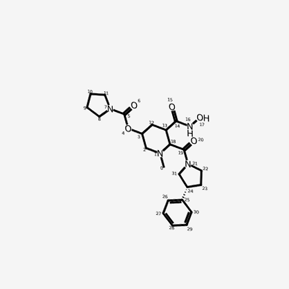 CN1CC(OC(=O)N2CCCC2)CC(C(=O)NO)C1C(=O)N1CC[C@H](c2ccccc2)C1